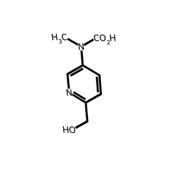 CN(C(=O)O)c1ccc(CO)nc1